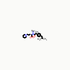 CC(C)Cc1ccc([C@@H](C)C(=O)N[C@@H](CCCN2CCCCC2)C(=O)[O-])cc1.[Na+]